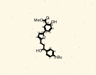 CCCCc1ccc(C(O)CCc2ccc(-c3ccc(O)c(C(=O)OC)c3)o2)cc1